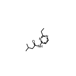 CCc1nccc(NC(=O)CC(C)C)n1